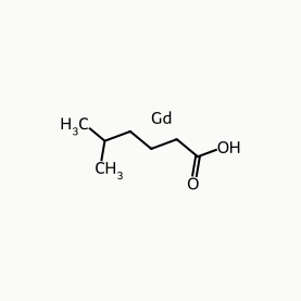 CC(C)CCCC(=O)O.[Gd]